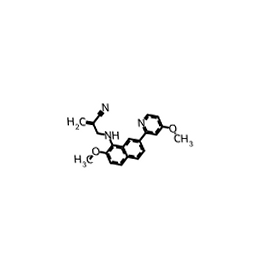 C=C(C#N)CNc1c(OC)ccc2ccc(-c3cc(OC)ccn3)cc12